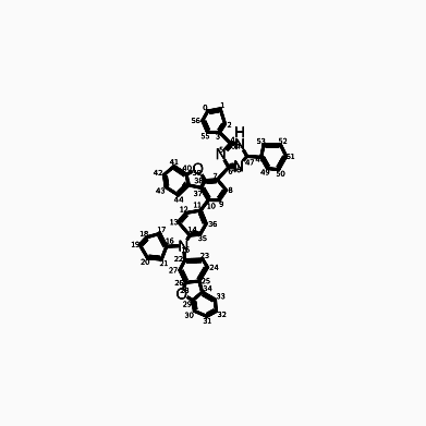 c1ccc(C2=NC(c3ccc(-c4ccc(N(c5ccccc5)c5ccc6c(c5)oc5ccccc56)cc4)c4c3oc3ccccc34)=NC(c3ccccc3)N2)cc1